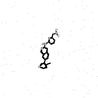 Cc1ccncc1-c1ccc2cc(Nc3cccc(C[N+](=O)[O-])n3)ncc2c1